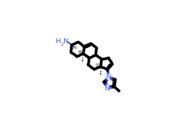 Cc1cn(C2=CCC3C4CC=C5C[C@H](N)CC[C@]5(C)C4CC[C@]23C)cn1